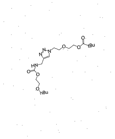 CCCCOCCOC(=O)NCc1cn(CCOCCOC(=O)C(C)(C)C)nn1